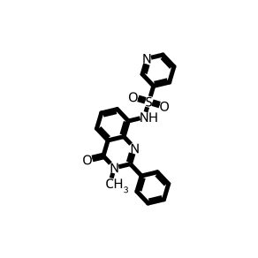 Cn1c(-c2ccccc2)nc2c(NS(=O)(=O)c3cccnc3)cccc2c1=O